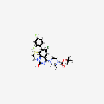 C[C@H]1CN(c2nc(=O)n3c4c(c(-c5ccc(F)cc5F)c(Cl)cc24)SCC3)CCN1C(=O)OC(C)(C)C